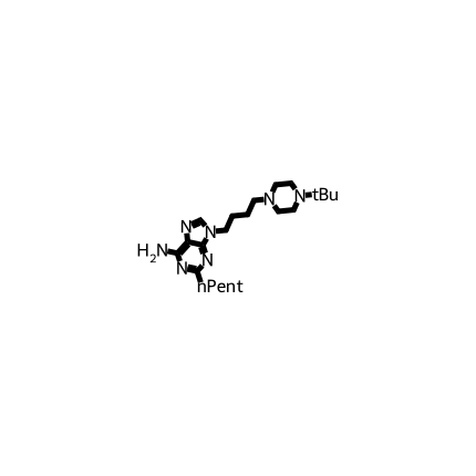 CCCCCc1nc(N)c2ncn(CCCCN3CCN(C(C)(C)C)CC3)c2n1